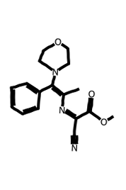 COC(=O)C(C#N)=NC(C)=C(c1ccccc1)N1CCOCC1